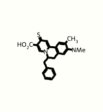 CNc1cc2c(cc1C)-c1cc(=S)c(C(=O)O)cn1C(Cc1ccccc1)C2